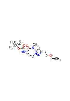 CCOCCc1cc2n(n1)CCC(NC(=O)OC(C)(C)C)C(=O)N2C